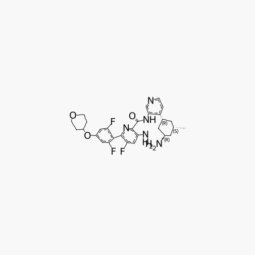 C[C@@H]1C[C@@H](N)C[C@H](c2ccncc2NC(=O)c2nc(-c3c(F)cc(OC4CCOCC4)cc3F)c(F)cc2N)C1